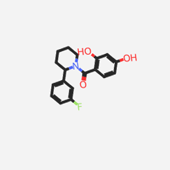 O=C(c1ccc(O)cc1O)N1CCCCC1c1cccc(F)c1